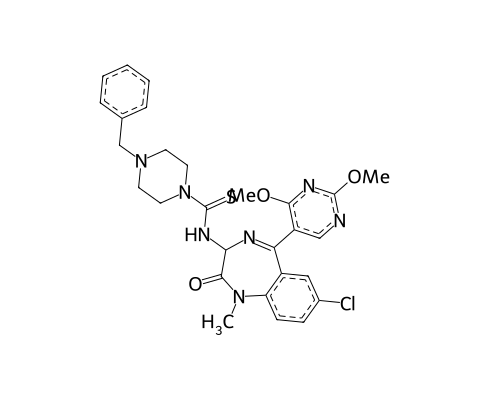 COc1ncc(C2=NC(NC(=S)N3CCN(Cc4ccccc4)CC3)C(=O)N(C)c3ccc(Cl)cc32)c(OC)n1